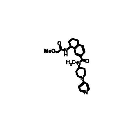 COCC(=O)NC1CCCc2ccc(C(=O)N(C)C3CCN(c4ccncc4)CC3)cc21